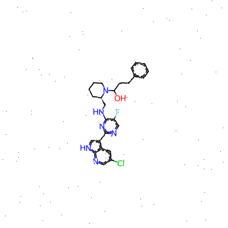 OC(CCc1ccccc1)N1CCCC[C@@H]1CNc1nc(-c2c[nH]c3ncc(Cl)cc23)ncc1F